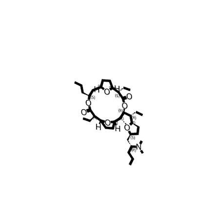 CCC[C@H]1C[C@@H]2CC[C@@H](O2)[C@H](CC)C(=O)O[C@@H]([C@H](CC)[C@H]2CC[C@@H](C[C@@H](CCC)N(C)C)O2)[C@H](C)[C@@H]2CC[C@@H](O2)[C@@H](CC)C(=O)O1